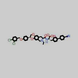 CCN1Cc2cc3c(cc2CC1C(=O)N[C@@H](Cc1ccc(-c2ccc(C#N)cc2)cc1)C(=O)O)OC[C@H](c1ccc(OCc2ccc(Cl)c(Cl)c2)cc1)O3